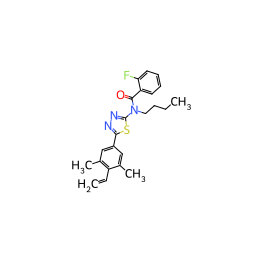 C=Cc1c(C)cc(-c2nnc(N(CCCC)C(=O)c3ccccc3F)s2)cc1C